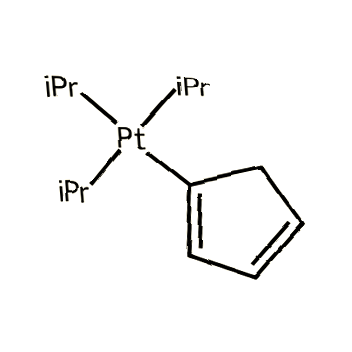 C[CH](C)[Pt]([C]1=CC=CC1)([CH](C)C)[CH](C)C